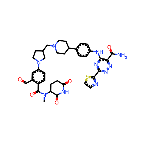 CN(C(=O)c1ccc(N2CCC(CN3CCC(c4ccc(Nc5nc(-c6nccs6)nnc5C(N)=O)cc4)CC3)C2)cc1C=O)C1CCC(=O)NC1=O